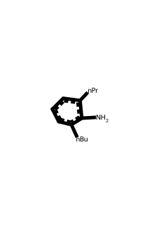 CCCCc1cccc(CCC)c1N